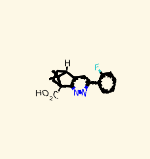 CC1(C)[C@@H]2CC[C@@]1(C(=O)O)c1nnc(-c3ccccc3F)cc12